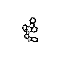 CC1(C)c2ccc3sc4ccccc4c3c2N1c1cccc2c3ccccc3n(-c3ccccc3)c12